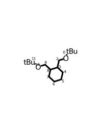 CC(C)(C)OCC1CCCCC1COC(C)(C)C